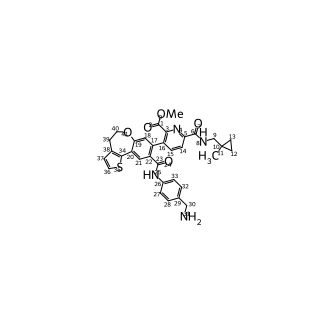 COC(=O)c1nc(C(=O)NCC2(C)CC2)ccc1-c1cc2c(cc1C(=O)Nc1ccc(CN)cc1)-c1sccc1CCO2